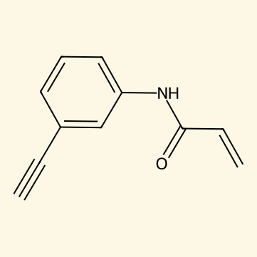 C#Cc1cccc(NC(=O)C=C)c1